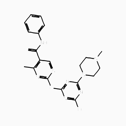 CCc1nc(Oc2ncc(C(=O)Nc3ccccc3)c(C)n2)nc(N2CCN(C)CC2)n1